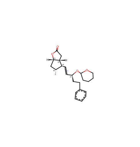 C[C@@H]1C[C@@H]2OC(=O)C[C@@H]2[C@H]1/C=C/[C@H](CCc1ccccc1)OC1CCCCO1